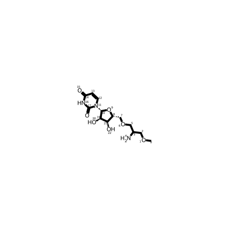 COCC(N)COC[C@H]1O[C@@H](n2ccc(=O)[nH]c2=O)[C@H](O)[C@@H]1O